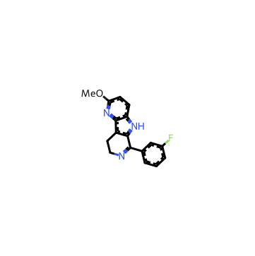 COc1ccc2[nH]c3c(c2n1)CCN=C3c1cccc(F)c1